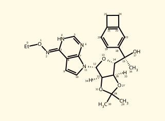 CCON=c1[nH]cnc2c1ccn2[C@@H]1O[C@H]([C@](C)(O)c2ccc3c(c2)CC3)[C@H]2OC(C)(C)O[C@H]21